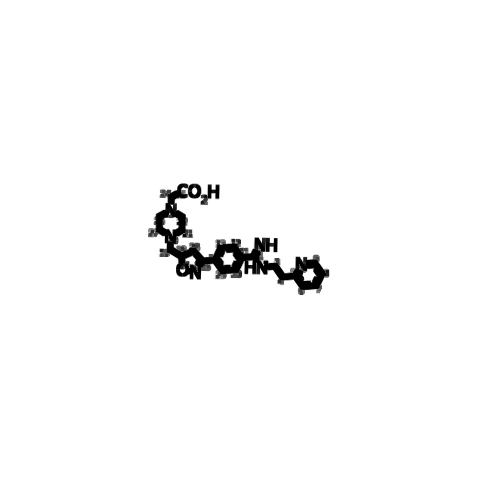 N=C(NCCc1ccccn1)c1ccc(C2=NOC(CN3CCN(CC(=O)O)CC3)C2)cc1